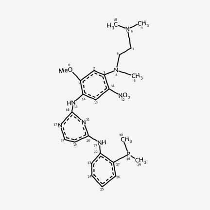 COc1cc(N(C)CCN(C)C)c([N+](=O)[O-])cc1Nc1nccc(Nc2ccccc2P(C)C)n1